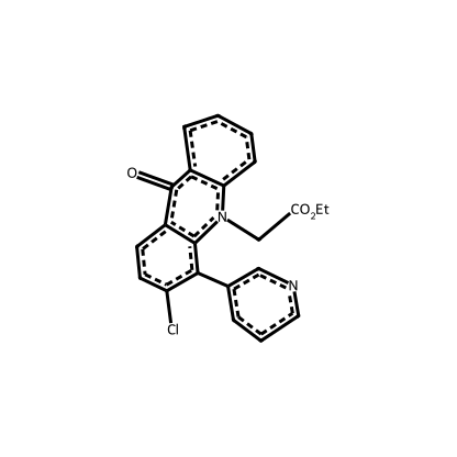 CCOC(=O)Cn1c2ccccc2c(=O)c2ccc(Cl)c(-c3cccnc3)c21